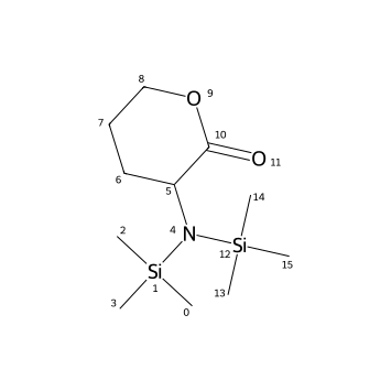 C[Si](C)(C)N(C1CCCOC1=O)[Si](C)(C)C